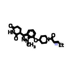 CC/C=C/C(=O)N1CCC(Oc2cccc3c(C4CCC(=O)NC4=O)nn(C)c23)CC1